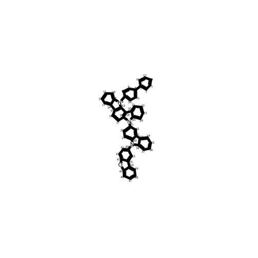 c1ccc(-c2ccc(-n3c4ccccc4c4ccc5c(c6ccccc6n5-c5ccc6c(c5)c5ccccc5n6-c5ccc6oc7ccccc7c6c5)c43)cc2)cc1